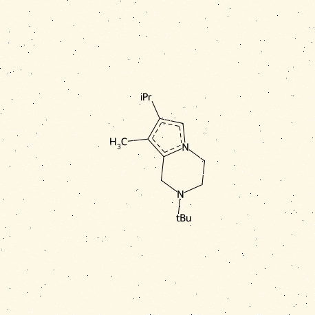 Cc1c(C(C)C)cn2c1CN(C(C)(C)C)CC2